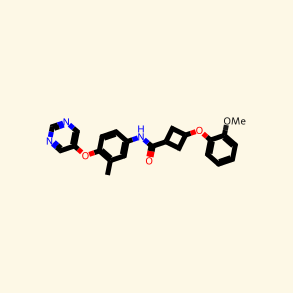 COc1ccccc1OC1CC(C(=O)Nc2ccc(Oc3cncnc3)c(C)c2)C1